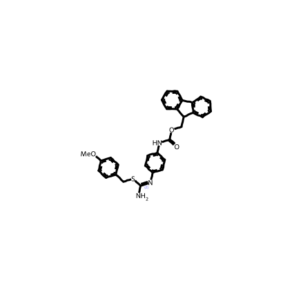 COc1ccc(CS/C(N)=N\c2ccc(NC(=O)OCC3c4ccccc4-c4ccccc43)cc2)cc1